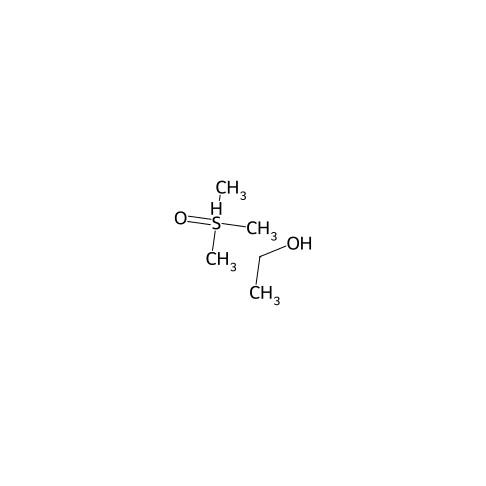 CCO.C[SH](C)(C)=O